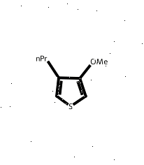 CCCc1cscc1OC